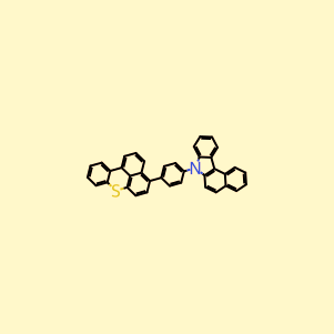 c1ccc2c(c1)Sc1ccc(-c3ccc(-n4c5ccccc5c5c6ccccc6ccc54)cc3)c3cccc-2c13